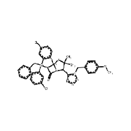 COc1ccc(Cn2nnnc2C2N3C(=O)C([N+](Cc4ccccc4)(c4cccc(Cl)c4)c4cccc(Cl)c4)[C@@H]3SC2(C)C)cc1